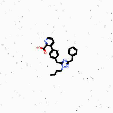 CCCCn1nc(Cc2ccccc2)nc1Cc1ccc(-c2cccnc2C(=O)O)cc1